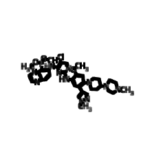 COc1cc(N2CCC(N3CCN(C)CC3)CC2)c(-c2cnn(C)c2)cc1Nc1ncc(Cl)c(Nc2ccc3nccnc3c2P(OC)OC)n1